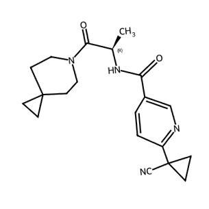 C[C@@H](NC(=O)c1ccc(C2(C#N)CC2)nc1)C(=O)N1CCC2(CC1)CC2